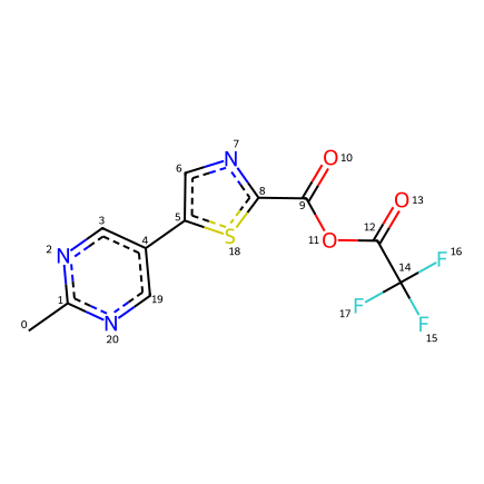 Cc1ncc(-c2cnc(C(=O)OC(=O)C(F)(F)F)s2)cn1